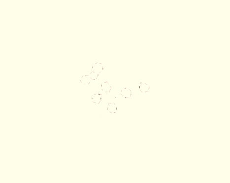 c1ccc(-c2ccc(N(c3ccc(-n4c5ccccc5c5ccccc54)cc3)c3cccc4c3-c3ccccc3C43C4CC5CC(C4)CC3C5)cc2)cc1